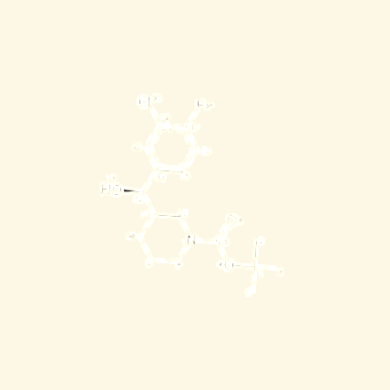 CC(C)(C)OC(=O)N1CCCC([C@@H](O)c2ccc(F)c(Cl)c2)C1